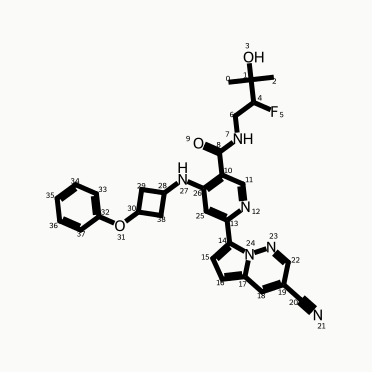 CC(C)(O)C(F)CNC(=O)c1cnc(-c2ccc3cc(C#N)cnn23)cc1NC1CC(Oc2ccccc2)C1